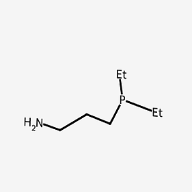 CCP(CC)CCCN